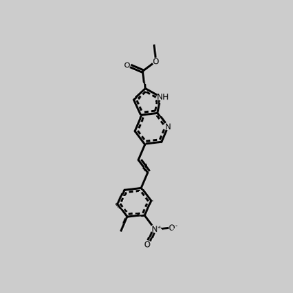 COC(=O)c1cc2cc(/C=C/c3ccc(C)c([N+](=O)[O-])c3)cnc2[nH]1